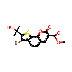 COC(=O)c1cc2ccc3c(Br)c(C(C)(C)O)sc3c2oc1=O